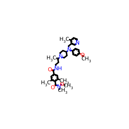 COc1ccc(N(Cc2cnccc2C)C2CCN([C@H](C)CCNC(=O)c3cc(C)c(C(=O)N(C)OC)c(C)c3)CC2)cc1